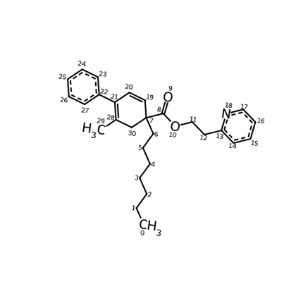 CCCCCCCC1(C(=O)OCCc2ccccn2)C=CC(c2ccccc2)=C(C)C1